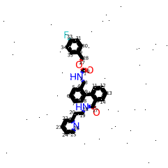 O=C(NCc1ccccc1-c1ccccc1C(=O)NCCc1ccccn1)OCc1ccc(F)cc1